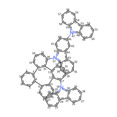 c1ccc2c(c1)-c1ccccc1-c1c(cccc1-n1c3ccccc3c3ccccc31)-c1c-2cccc1-n1c2ccccc2c2cc(-n3c4ccccc4c4ccccc43)ccc21